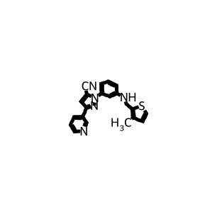 Cc1ccsc1CNc1cccc(-n2nc(-c3cccnc3)cc2C#N)c1